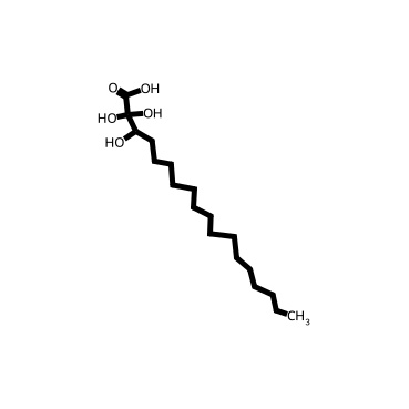 CCCCCCCCCCCCCCCC(O)C(O)(O)C(=O)O